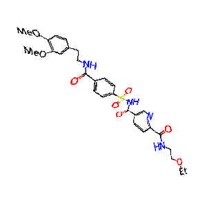 CCOCCNC(=O)c1ccc(C(=O)NS(=O)(=O)c2ccc(C(=O)NCCc3ccc(OC)c(OC)c3)cc2)cn1